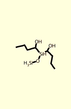 CCCC(O)[SiH](O[SiH3])C(O)CCC